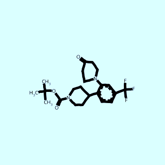 CC(C)(C)OC(=O)N1CCC(c2ccc(C(F)(F)F)cc2N2CCC(=O)CC2)CC1